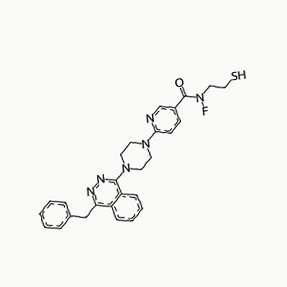 O=C(c1ccc(N2CCN(c3nnc(Cc4ccccc4)c4ccccc34)CC2)nc1)N(F)CCS